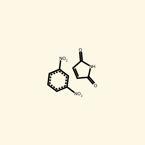 O=C1C=CC(=O)N1.O=[N+]([O-])c1cccc([N+](=O)[O-])c1